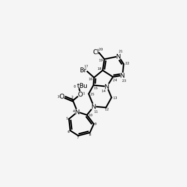 CC(C)(C)OC(=O)N1C=CC=CC=C1N1CCn2c(c(Br)c3c(Cl)ncnc32)C1